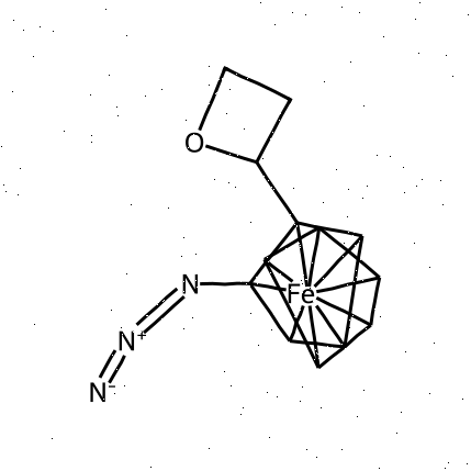 [N-]=[N+]=N[C]12[CH]3[CH]4[CH]5[C]1(C1CCO1)[Fe]43521678[CH]2[CH]1[CH]6[CH]7[CH]28